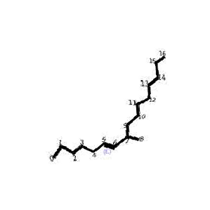 CCCCC/C=C/C(C)CCCCCCCC